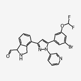 O=CC1NCc2c(-c3cc(-c4cc(Br)cc(OC(F)F)c4)n(-c4cccnc4)n3)cccc21